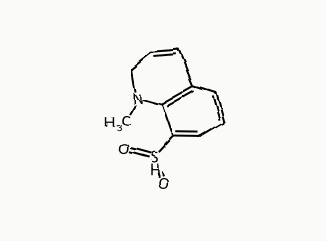 CN1CC=Cc2cccc([SH](=O)=O)c21